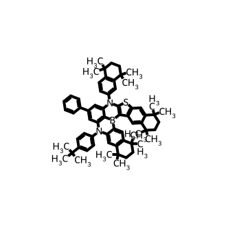 CC(C)(C)c1ccc(N2c3cc4c(cc3B3c5c2cc(-c2ccccc2)cc5N(c2ccc5c(c2)C(C)(C)CCC5(C)C)c2sc5cc6c(cc5c23)C(C)(C)CCC6(C)C)C(C)(C)CCC4(C)C)cc1